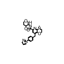 CN1CCOc2c(Cc3ccc(-n4cccn4)cc3)cc(C(=O)NC3COCCC3O)nc21